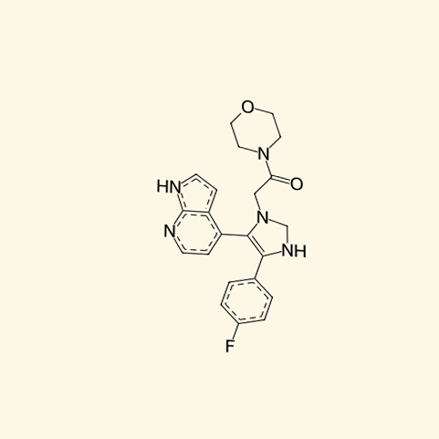 O=C(CN1CNC(c2ccc(F)cc2)=C1c1ccnc2[nH]ccc12)N1CCOCC1